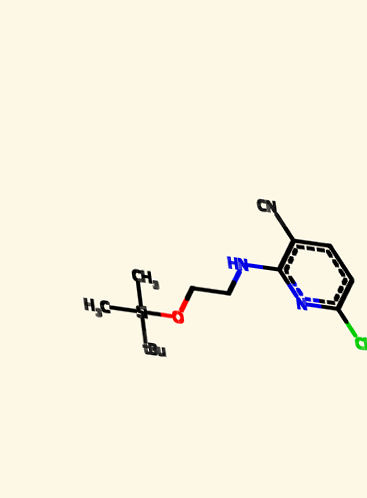 [C-]#[N+]c1ccc(Cl)nc1NCCO[Si](C)(C)C(C)(C)C